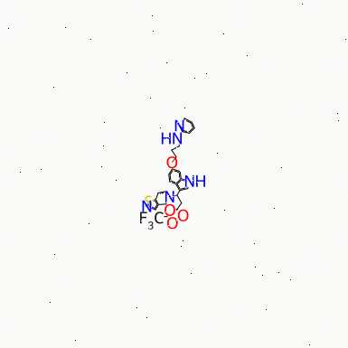 O=C(CC(c1c[nH]c2cc(OCCCNc3ccccn3)ccc12)N1C=Cc2sncc2C1)OC(=O)C(F)(F)F